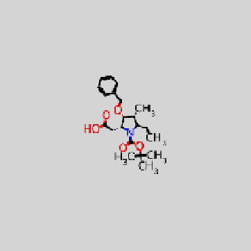 CC[C@@H]1[C@@H](C)[C@H](OCc2ccccc2)[C@@H](CC(=O)O)N1C(=O)OC(C)(C)C